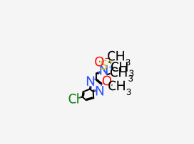 CC/[N+](=C\c1nc2cc(Cl)ccc2nc1OC)[S@@+]([O-])C(C)C